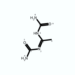 CC(=NC(N)=O)NC(N)=O